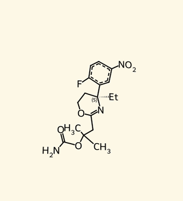 CC[C@@]1(c2cc([N+](=O)[O-])ccc2F)CCOC(CC(C)(C)OC(N)=O)=N1